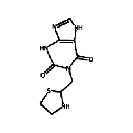 O=c1[nH]c2nc[nH]c2c(=O)n1CC1NCCS1